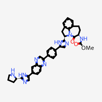 COC(=O)N[C@H]1CCc2cccc3c2N(C1=O)[C@H](c1ncc(-c2ccc(-c4cnc5cc(-c6cnc([C@@H]7CCCN7)[nH]6)ccc5n4)cc2)[nH]1)C3